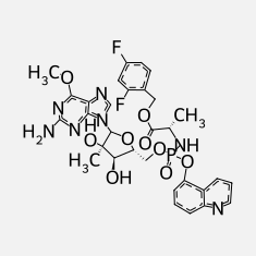 COc1nc(N)nc2c1ncn2C1O[C@H](COP(=O)(N[C@@H](C)C(=O)OCc2ccc(F)cc2F)Oc2cccc3ncccc23)[C@@H](O)[C@@]1(C)O